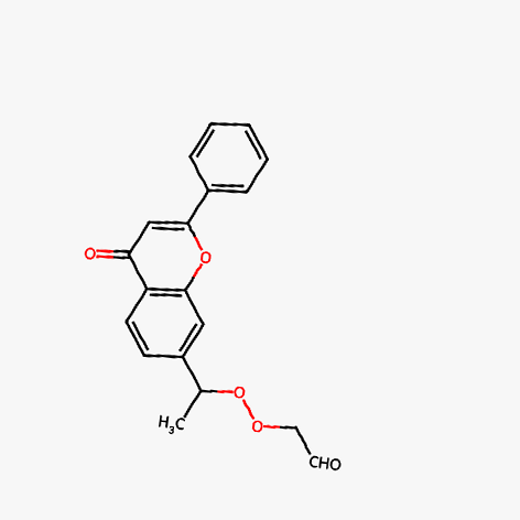 CC(OOCC=O)c1ccc2c(=O)cc(-c3ccccc3)oc2c1